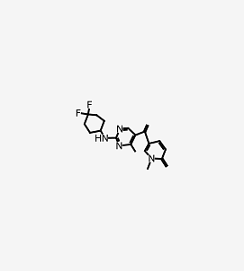 C=C(C1=CN(C)C(=C)C=C1)c1cnc(NC2CCC(F)(F)CC2)nc1C